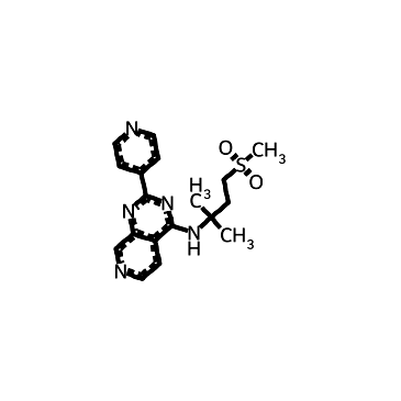 CC(C)(CCS(C)(=O)=O)Nc1nc(-c2ccncc2)nc2cnccc12